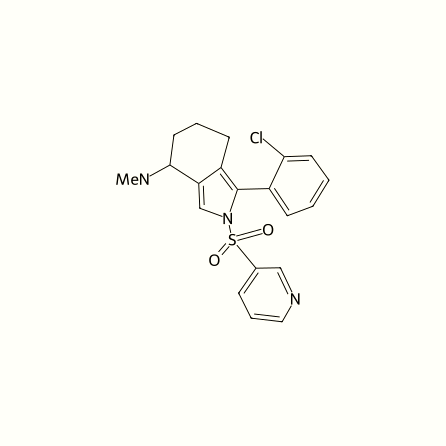 CNC1CCCc2c1cn(S(=O)(=O)c1cccnc1)c2-c1ccccc1Cl